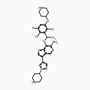 CC(Oc1c(N)ncc2c(-c3cnn(C4CCNCC4)c3)coc12)c1c(Cl)c(F)cc(OC2CCNCC2)c1Cl